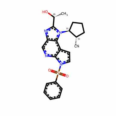 C[C@@H](O)c1nc2cnc3c(ccn3S(=O)(=O)c3ccccc3)c2n1[C@H]1CCC[C@@H]1C#N